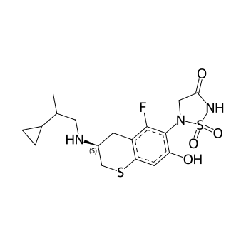 CC(CN[C@@H]1CSc2cc(O)c(N3CC(=O)NS3(=O)=O)c(F)c2C1)C1CC1